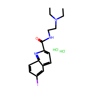 CCN(CC)CCNC(=O)c1ccc2cc(I)ccc2n1.Cl.Cl